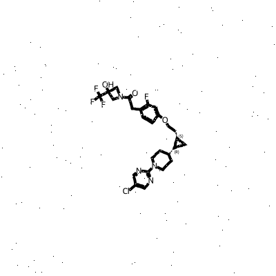 O=C(Cc1ccc(OCC[C@@H]2C[C@@H]2C2CCN(c3ncc(Cl)cn3)CC2)cc1F)N1CC(O)(C(F)(F)F)C1